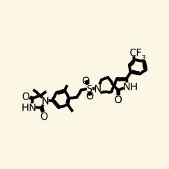 Cc1cc(N2C(=O)NC(=O)C2(C)C)cc(C)c1CCS(=O)(=O)N1CCC2(C=C(c3cccc(C(F)(F)F)c3)NC2=O)CC1